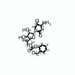 Nc1nc(=O)n([C@@H]2O[C@@](COP3(=O)OCc4ccccc4O3)(C(F)F)[C@@H](O)[C@@H]2O)cc1Cl